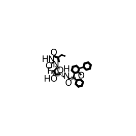 CCc1cn([C@@H]2O[C@H](CNC(=O)[C@@H]3c4ccccc4Oc4c(-c5ccccc5)cccc43)[C@@H](O)[C@H]2F)c(=O)[nH]c1=O